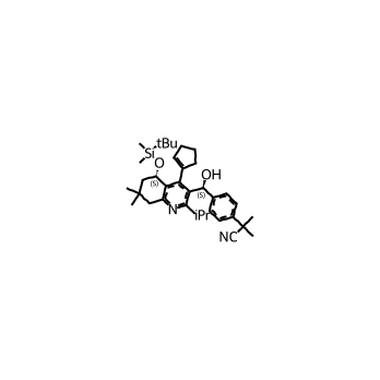 CC(C)c1nc2c(c(C3=CCCC3)c1[C@@H](O)c1ccc(C(C)(C)C#N)cc1)[C@@H](O[Si](C)(C)C(C)(C)C)CC(C)(C)C2